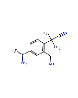 CC(N)c1ccc(C(C)(C)C#N)c(CN)c1